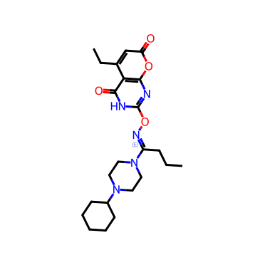 CCC/C(=N\Oc1nc2oc(=O)cc(CC)c2c(=O)[nH]1)N1CCN(C2CCCCC2)CC1